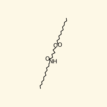 CCCCCCCCCCCCNC(=O)CCCCCOC(=O)CCCCCCCCCCC